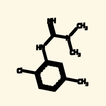 Cc1ccc(Cl)c(NC(=N)N(C)C)c1